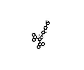 Cc1cc(-c2nc3c(-c4cc5ccccc5c5ccccc45)cc(-c4cc5ccccc5c5ccccc45)cc3s2)ccc1-c1ccc(-c2cccnc2)cc1